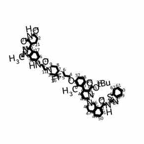 Cc1c(OCCC[C@H]2CCN(CC(=O)Nc3ccc4c(C5CCC(=O)NC5=O)nn(C)c4c3)CC2(F)F)cccc1-c1ccc(N2CCc3cccc(C(=O)Nc4nc5ccccc5s4)c3C2)nc1C(=O)OC(C)(C)C